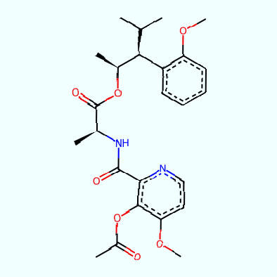 COc1ccccc1[C@H](C(C)C)[C@H](C)OC(=O)[C@H](C)NC(=O)c1nccc(OC)c1OC(C)=O